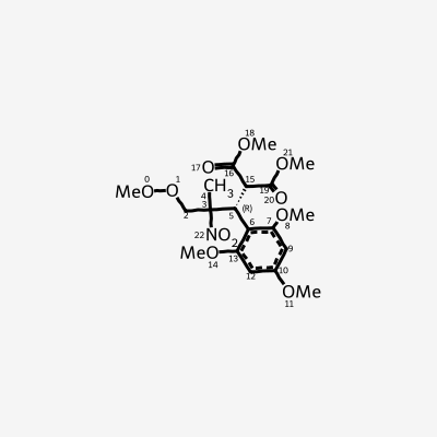 COOCC(C)([C@@H](c1c(OC)cc(OC)cc1OC)C(C(=O)OC)C(=O)OC)[N+](=O)[O-]